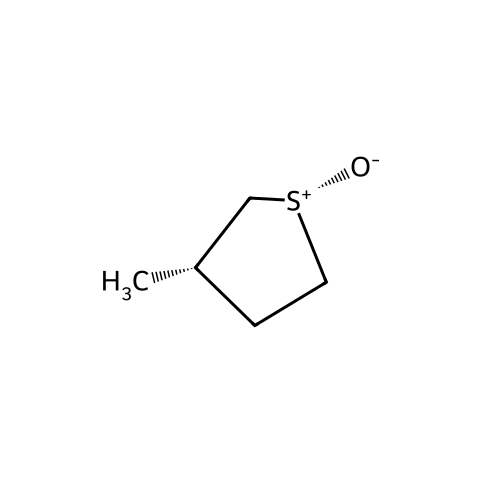 C[C@H]1CC[S@@+]([O-])C1